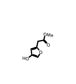 COC(=O)Cc1cc(O)co1